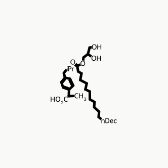 CC(C)Cc1ccc(C(C)C(=O)O)cc1.CCCCCCCCCCCCCCCCCCCCCC(=O)OCC(O)CO